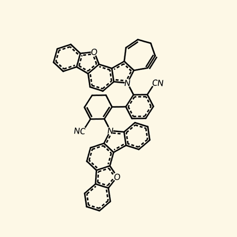 N#CC1=CCCC(c2cccc(C#N)c2-n2c3c(c4c5oc6ccccc6c5ccc42)C=CCC#C3)=C1n1c2ccccc2c2c3oc4ccccc4c3ccc21